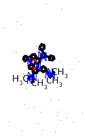 Cc1nc(C)nc(-c2ccc3c(c2)c2cc(-c4nc(C)nc(C)n4)ccc2n3-c2cc(-c3nc(-c4ccccc4)cc(-c4ccccc4)n3)ccc2-c2ccccc2-n2c3ccccc3c3ccccc32)n1